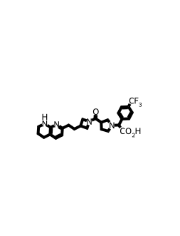 O=C(O)C(c1ccc(C(F)(F)F)cc1)N1CCC(C(=O)N2CC(CCc3ccc4c(n3)NCCC4)C2)C1